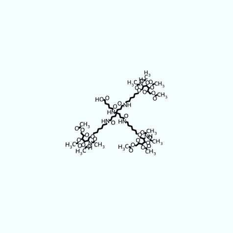 CC(=O)NC1C(OCCCCCCNC(=O)CCC(CCC(=O)NCCCCCCOC2OC(COC(C)=O)C(OC(C)=O)C(OC(C)=O)C2NC(C)=O)(CCC(=O)NCCCCCCOC2OC(COC(C)=O)C(OC(C)=O)C(OC(C)=O)C2NC(C)=O)NC(=O)CCCC(=O)O)OC(COC(C)=O)C(OC(C)=O)C1OC(C)=O